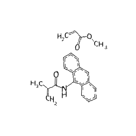 C=C(C)C(=O)Nc1c2ccccc2cc2ccccc12.C=CC(=O)OC